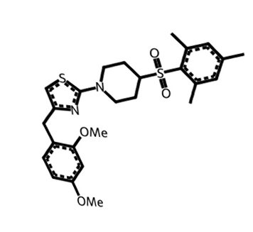 COc1ccc(Cc2csc(N3CCC(S(=O)(=O)c4c(C)cc(C)cc4C)CC3)n2)c(OC)c1